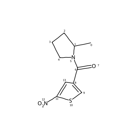 CC1CCCN1C(=O)c1csc([N+](=O)[O-])c1